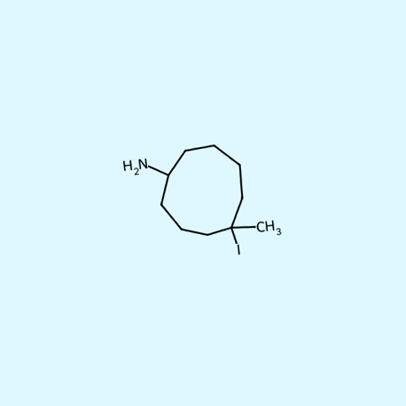 CC1(I)CCCCC(N)CCC1